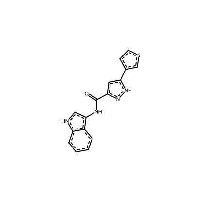 O=C(Nc1c[nH]c2ccccc12)c1cc(-c2ccsc2)[nH]n1